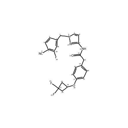 N#Cc1ccc(Cn2ccc(NC(=O)Cc3ccc(OC4CC(F)(F)C4)cc3)n2)cc1F